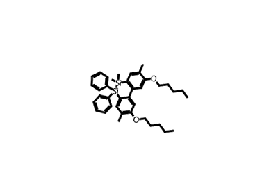 CCCCCOc1cc2c(cc1C)[Si](C)(C)[Si](c1ccccc1)(c1ccccc1)c1cc(C)c(OCCCCC)cc1-2